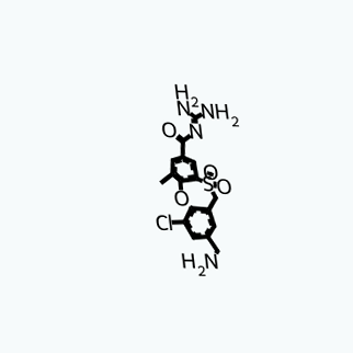 Cc1cc(C(=O)N=C(N)N)cc2c1Oc1c(Cl)cc(CN)cc1CS2(=O)=O